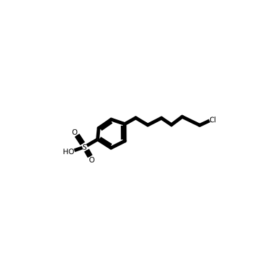 O=S(=O)(O)c1ccc(CCCCCCCl)cc1